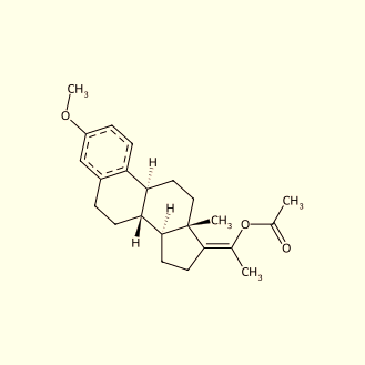 COc1ccc2c(c1)CC[C@@H]1[C@@H]2CC[C@]2(C)/C(=C(/C)OC(C)=O)CC[C@@H]12